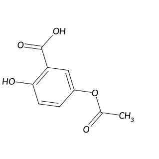 CC(=O)Oc1ccc(O)c(C(=O)O)c1